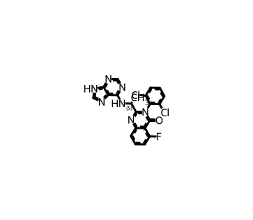 C[C@H](Nc1ncnc2[nH]cnc12)c1nc2cccc(F)c2c(=O)n1-c1c(Cl)cccc1Cl